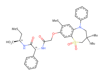 CCCCC1(CCCC)CN(c2ccccc2)c2cc(SC)c(OCC(=O)N[C@@H](C(=O)N[C@H](CSC)C(=O)O)c3ccccc3)cc2S(=O)(=O)C1